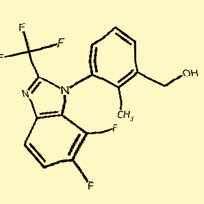 Cc1c(CO)cccc1-n1c(C(F)(F)F)nc2ccc(F)c(F)c21